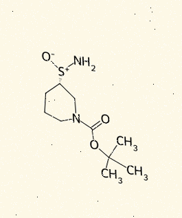 CC(C)(C)OC(=O)N1CCC[C@H]([S+](N)[O-])C1